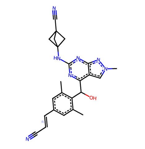 Cc1cc(/C=C/C#N)cc(C)c1C(O)c1nc(NC23CC(C#N)(C2)C3)nc2nn(C)cc12